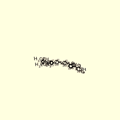 CC1(C)CC(C)(C)C1NC(=O)c1ccc(N2CCC(CCN3CCN(Cc4cccc5c(C6CCC(=O)NC6=O)noc45)CC3)CC2)cc1